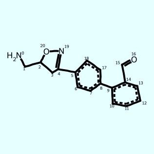 NCC1CC(c2ccc(-c3ccccc3C=O)cc2)=NO1